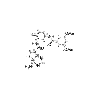 COc1cc(OC)cc(C(=O)Nc2ccc(C)c(NC(=O)c3csc4c(N)ncnc34)c2)c1